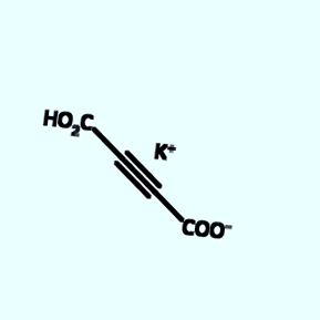 O=C([O-])C#CC(=O)O.[K+]